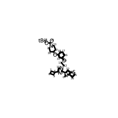 Cn1c(-c2nc(C3CCC3)cn2CCOc2cccc(OC3CCN(C(=O)OC(C)(C)C)CC3)c2)cc2sccc21